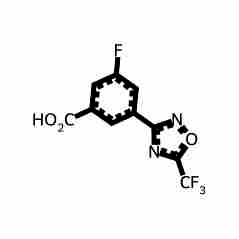 O=C(O)c1cc(F)cc(-c2noc(C(F)(F)F)n2)c1